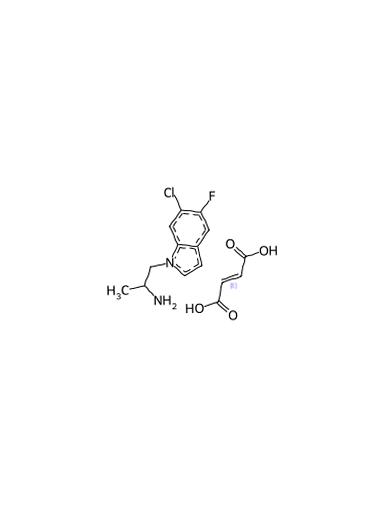 CC(N)Cn1ccc2cc(F)c(Cl)cc21.O=C(O)/C=C/C(=O)O